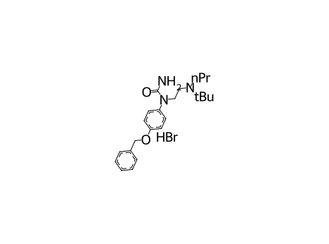 Br.CCCN(CCN(C(N)=O)c1ccc(OCc2ccccc2)cc1)C(C)(C)C